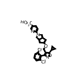 O=C(O)c1ccc(N2CC3CC(OCc4c(-c5c(Cl)cccc5Cl)noc4C4CC4)CC3C2)nc1